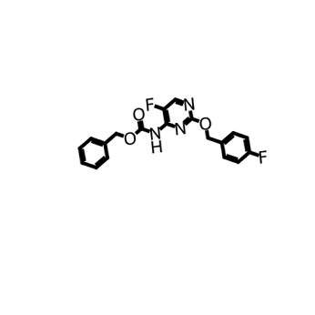 O=C(Nc1nc(OCc2ccc(F)cc2)ncc1F)OCc1ccccc1